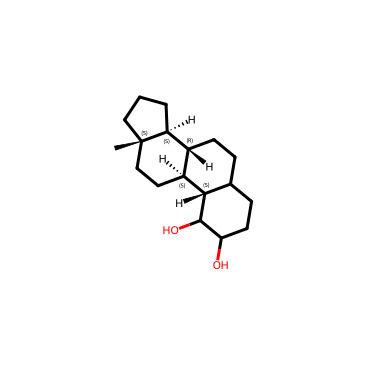 C[C@@]12CCC[C@H]1[C@@H]1CCC3CCC(O)C(O)[C@@H]3[C@H]1CC2